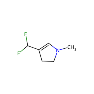 CN1C=C(C(F)F)CC1